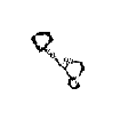 c1ccc(COCC2NCCn3cccc32)cc1